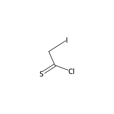 S=C(Cl)CI